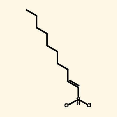 CCCCCCCCC=C[SiH](Cl)Cl